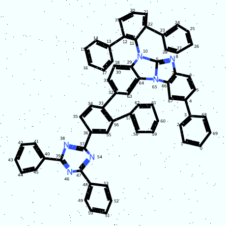 c1ccc(-c2ccc3nc4n(-c5c(-c6ccccc6)cccc5-c5ccccc5)c5ccc(-c6ccc(-c7nc(-c8ccccc8)nc(-c8ccccc8)n7)cc6-c6ccccc6)cc5n4c3c2)cc1